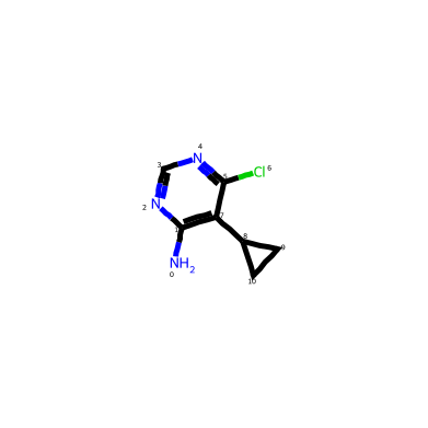 Nc1ncnc(Cl)c1C1CC1